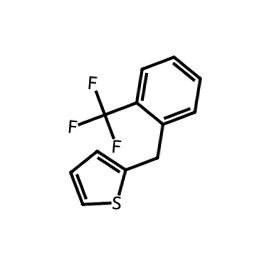 FC(F)(F)c1ccccc1Cc1cccs1